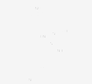 Cc1cc(Nc2ccc(OCc3cccnc3)cc2)nc(Nc2ccc(S(=O)(=O)NC3CC3)cc2)n1